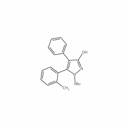 CCCCn1nc(O)c(-c2ccccc2)c1-c1ccccc1C